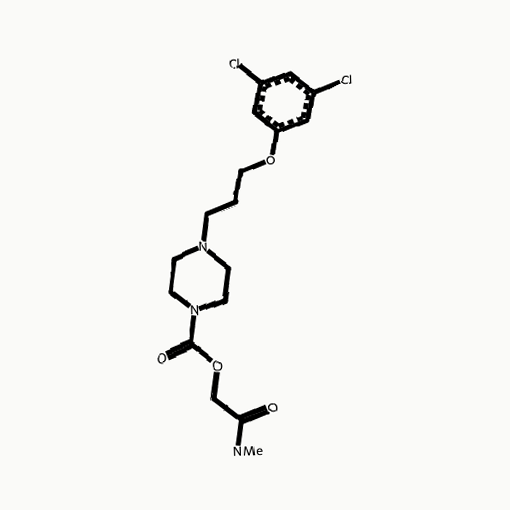 CNC(=O)COC(=O)N1CCN(CCCOc2cc(Cl)cc(Cl)c2)CC1